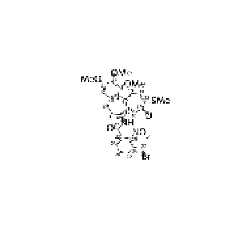 COc1cc2c(c(OC)c1OC)-c1ccc(SC)c(=O)cc1[C@@H](NC(=O)c1cccc(CBr)c1[N+](=O)[O-])CC2